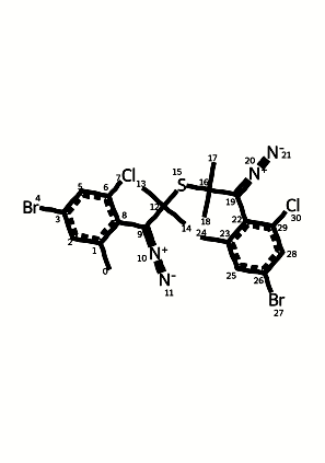 Cc1cc(Br)cc(Cl)c1C(=[N+]=[N-])C(C)(C)SC(C)(C)C(=[N+]=[N-])c1c(C)cc(Br)cc1Cl